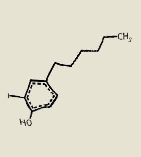 CCCCCCc1ccc(O)c(I)c1